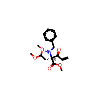 C=CC(=O)[C@](CC(OC)OC)(NCc1ccccc1)C(=O)OC